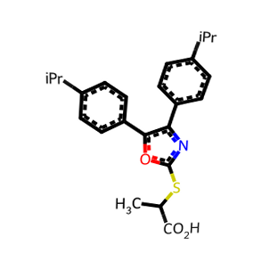 CC(Sc1nc(-c2ccc(C(C)C)cc2)c(-c2ccc(C(C)C)cc2)o1)C(=O)O